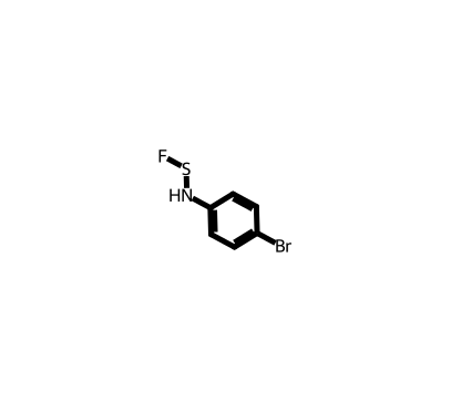 FSNc1ccc(Br)cc1